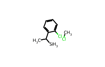 CC([SiH3])c1ccccc1Cl.CCl